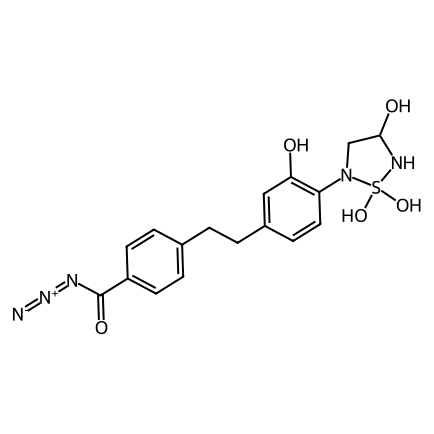 [N-]=[N+]=NC(=O)c1ccc(CCc2ccc(N3CC(O)NS3(O)O)c(O)c2)cc1